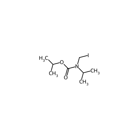 CC(C)OC(=O)N(CI)C(C)C